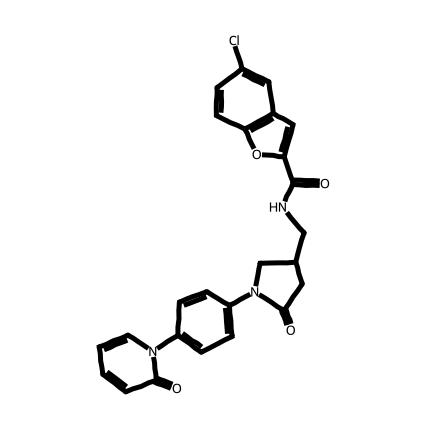 O=C(NCC1CC(=O)N(c2ccc(-n3ccccc3=O)cc2)C1)c1cc2cc(Cl)ccc2o1